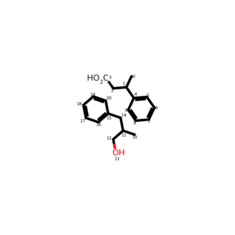 CC(CC(=O)O)c1ccccc1.CC(CO)Cc1ccccc1